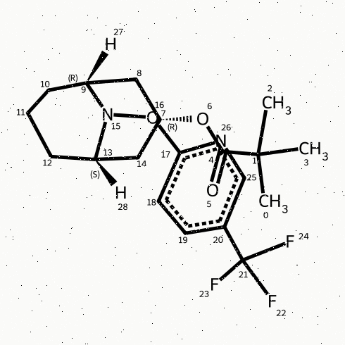 CC(C)(C)C(=O)O[C@H]1C[C@H]2CCC[C@@H](C1)N2Oc1ccc(C(F)(F)F)cn1